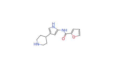 O=C(Nc1cc(C2CCNCC2)c[nH]1)c1ccco1